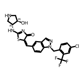 O=C1N=C(N[C@@H]2CNC[C@H]2O)SC1=Cc1ccc2c(cnn2Cc2ccc(Cl)cc2C(F)(F)F)c1